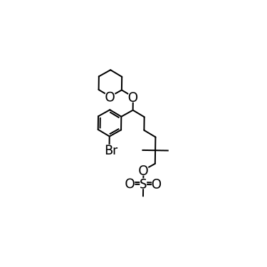 CC(C)(CCCC(OC1CCCCO1)c1cccc(Br)c1)COS(C)(=O)=O